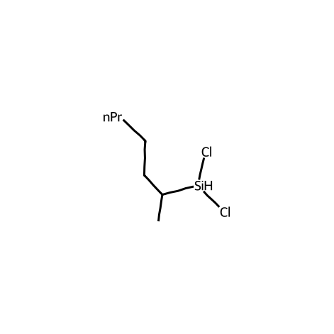 CCCCCC(C)[SiH](Cl)Cl